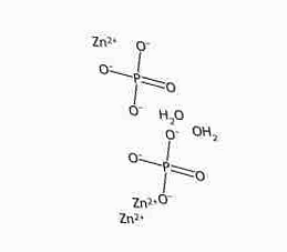 O.O.O=P([O-])([O-])[O-].O=P([O-])([O-])[O-].[Zn+2].[Zn+2].[Zn+2]